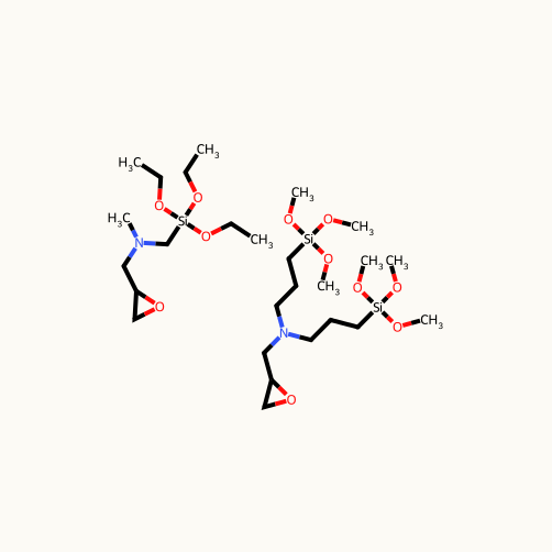 CCO[Si](CN(C)CC1CO1)(OCC)OCC.CO[Si](CCCN(CCC[Si](OC)(OC)OC)CC1CO1)(OC)OC